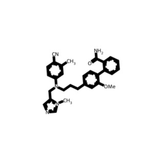 COc1cc(CCCN(Cc2cncn2C)c2ccc(C#N)c(C)c2)ccc1-c1ccccc1C(N)=O